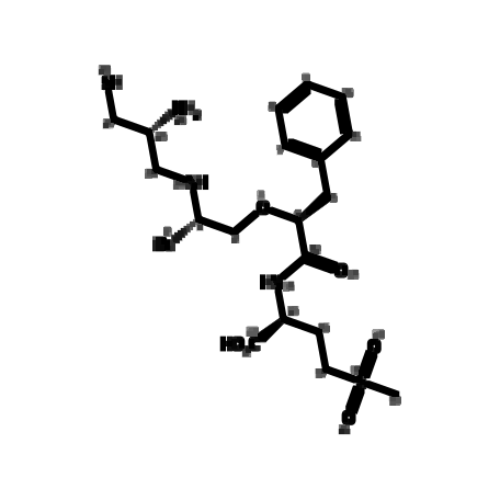 CCC(C)[C@@H](CO[C@@H](Cc1ccccc1)C(=O)N[C@@H](CCS(C)(=O)=O)C(=O)O)NC[C@@H](N)CS